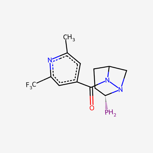 Cc1cc(C(=O)N2C3CC[C@@H](P)N2C3)cc(C(F)(F)F)n1